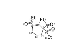 CCC(=O)C1=CC(C(=O)CC)(C(=O)CC)CCC1